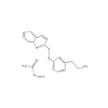 CCCc1cccc(OCc2ccc3ccccc3n2)c1.COC(C)=O